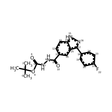 CC(C)(C)OC(=O)NNC(=O)c1ccc2[nH]nc(-c3ccc(F)cc3)c2c1